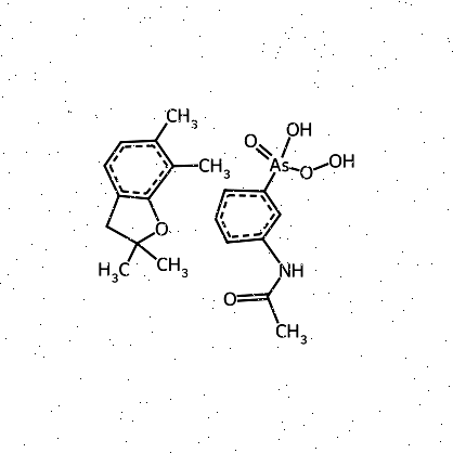 CC(=O)Nc1cccc([As](=O)(O)OO)c1.Cc1ccc2c(c1C)OC(C)(C)C2